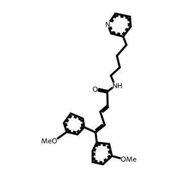 COc1cccc(C(=CC=CC(=O)NCCCCc2cccnc2)c2cccc(OC)c2)c1